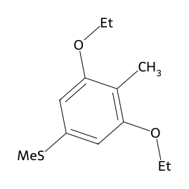 CCOc1cc(SC)cc(OCC)c1C